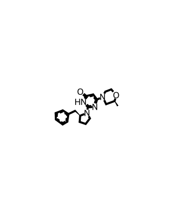 C[C@H]1CN(c2cc(=O)[nH]c(N3CCC[C@H]3Cc3ccccc3)n2)CCO1